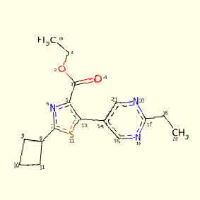 CCOC(=O)c1nc(C2CCC2)sc1-c1cnc(CC)nc1